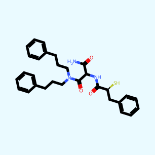 NC(=O)C(NC(=O)[C@@H](S)Cc1ccccc1)C(=O)N(CCCc1ccccc1)CCCc1ccccc1